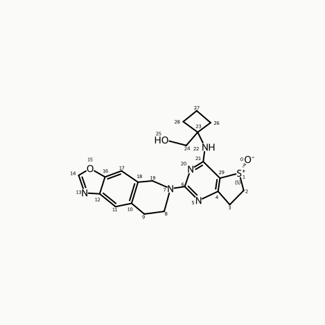 [O-][S@+]1CCc2nc(N3CCc4cc5ncoc5cc4C3)nc(NC3(CO)CCC3)c21